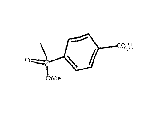 COP(C)(=O)c1ccc(C(=O)O)cc1